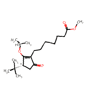 COC(=O)CCCCCCC1=C(O[SiH](C)C)[C@@H](C(C)(C)C)CC1=O